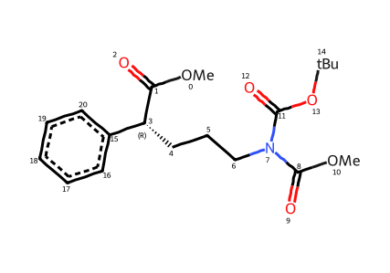 COC(=O)[C@H](CCCN(C(=O)OC)C(=O)OC(C)(C)C)c1ccccc1